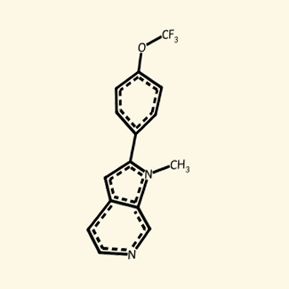 Cn1c(-c2ccc(OC(F)(F)F)cc2)cc2ccncc21